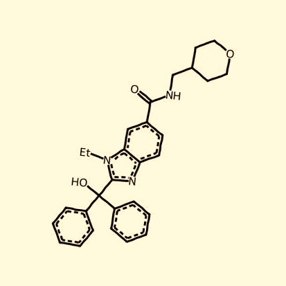 CCn1c(C(O)(c2ccccc2)c2ccccc2)nc2ccc(C(=O)NCC3CCOCC3)cc21